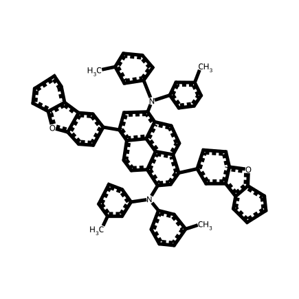 Cc1cccc(N(c2cccc(C)c2)c2cc(-c3ccc4oc5ccccc5c4c3)c3ccc4c(N(c5cccc(C)c5)c5cccc(C)c5)cc(-c5ccc6oc7ccccc7c6c5)c5ccc2c3c54)c1